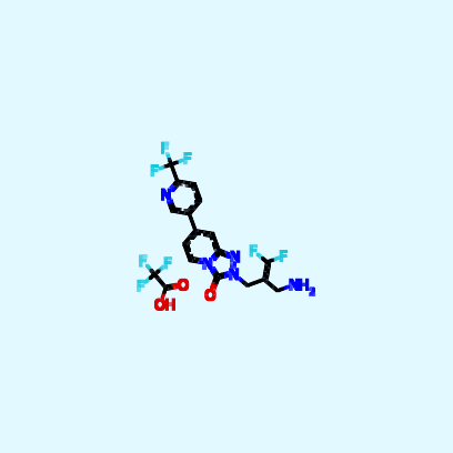 NCC(Cn1nc2cc(-c3ccc(C(F)(F)F)nc3)ccn2c1=O)=C(F)F.O=C(O)C(F)(F)F